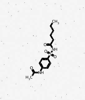 CCCCCC(=O)NS(=O)(=O)c1ccc(NC(C)=O)cc1